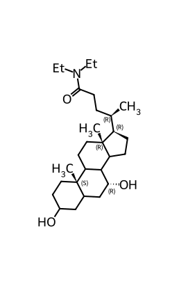 CCN(CC)C(=O)CC[C@@H](C)[C@H]1CCC2C3C(CC[C@@]21C)[C@@]1(C)CCC(O)CC1C[C@H]3O